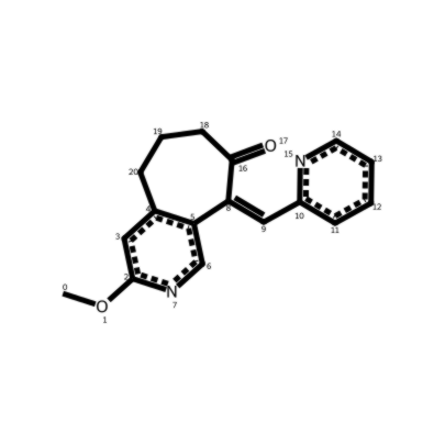 COc1cc2c(cn1)C(=Cc1ccccn1)C(=O)CCC2